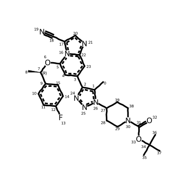 Cc1c(-c2cc(O[C@H](C)c3ccc(F)cc3)n3c(C#N)cnc3c2)nnn1C1CCN(C(=O)OC(C)(C)C)CC1